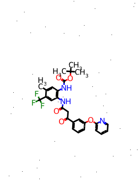 Cc1cc(NC(=O)OC(C)(C)C)c(NC(=O)CC(=O)c2cccc(Oc3ccccn3)c2)cc1C(F)(F)F